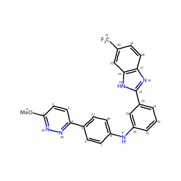 COc1ccc(-c2ccc(Nc3cccc(-c4nc5ccc(C(F)(F)F)cc5[nH]4)c3)cc2)nn1